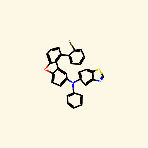 Brc1ccccc1-c1cccc2oc3ccc(N(c4ccccc4)c4ccc5scnc5c4)cc3c12